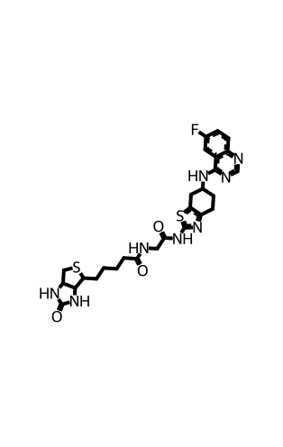 O=C(CCCCC1SCC2NC(=O)NC21)NCC(=O)Nc1nc2c(s1)CC(Nc1ncnc3ccc(F)cc13)CC2